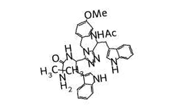 COc1ccc(Cn2c(C(Cc3c[nH]c4ccccc34)NC(C)=O)nnc2C(Cc2c[nH]c3ccccc23)NC(=O)C(C)(C)N)cc1